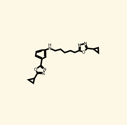 c1cc(NCCCCCc2nnc(C3CC3)o2)cc(-c2nnc(C3CC3)o2)c1